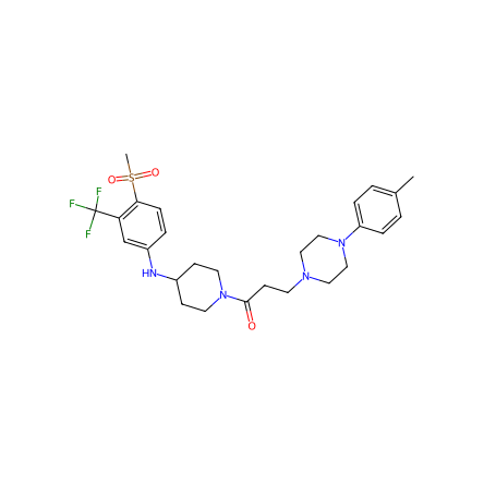 Cc1ccc(N2CCN(CCC(=O)N3CCC(Nc4ccc(S(C)(=O)=O)c(C(F)(F)F)c4)CC3)CC2)cc1